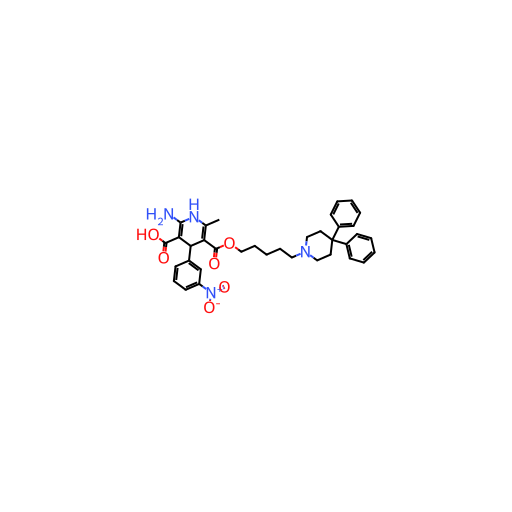 CC1=C(C(=O)OCCCCCN2CCC(c3ccccc3)(c3ccccc3)CC2)C(c2cccc([N+](=O)[O-])c2)C(C(=O)O)=C(N)N1